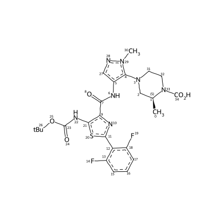 C[C@H]1CN(c2c(NC(=O)c3nc(-c4c(F)cccc4F)sc3NC(=O)OC(C)(C)C)cnn2C)CCN1C(=O)O